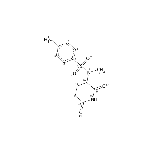 Cc1ccc(S(=O)(=O)N(C)C2CCC(=O)NC2=O)cc1